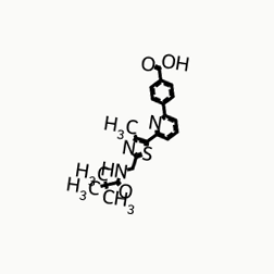 Cc1nc(CNC(=O)C(C)(C)C)sc1-c1cccc(-c2ccc(C(=O)O)cc2)n1